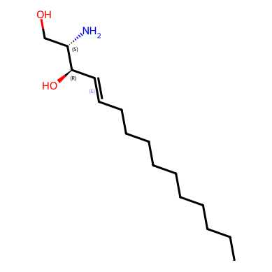 CCCCCCCCCC/C=C/[C@@H](O)[C@@H](N)CO